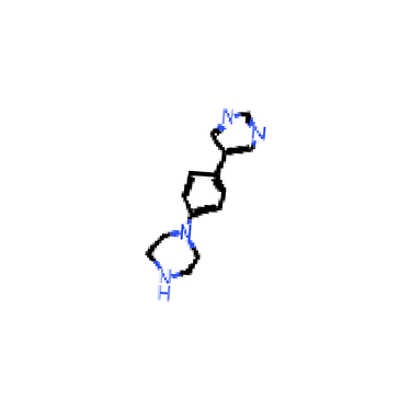 c1ncc(-c2ccc(N3CCNCC3)cc2)cn1